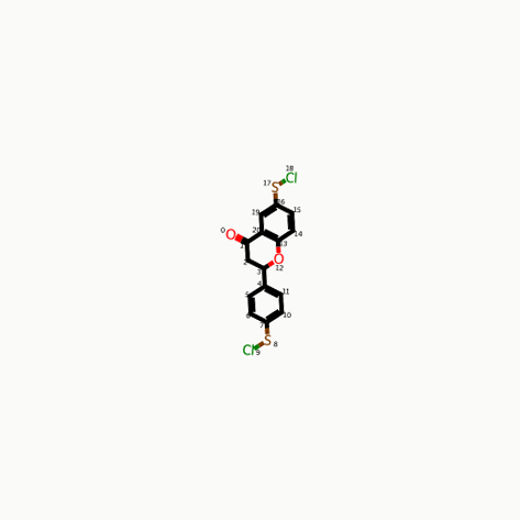 O=C1CC(c2ccc(SCl)cc2)Oc2ccc(SCl)cc21